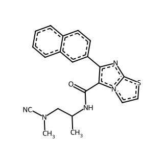 CC(CN(C)C#N)NC(=O)c1c(-c2ccc3ccccc3c2)nc2sccn12